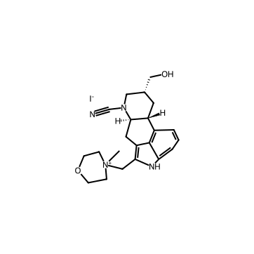 C[N+]1(Cc2[nH]c3cccc4c3c2C[C@@H]2[C@@H]4C[C@@H](CO)CN2C#N)CCOCC1.[I-]